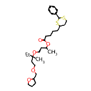 CCC(C)(CCOCC1CCCO1)OCCC(C)OC(=O)CCCCC1CCSC(c2ccccc2)S1